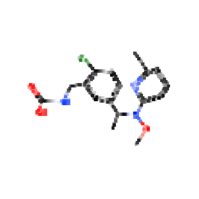 CON(c1cccc(C)n1)C(C)c1ccc(Cl)c(CNC(=O)O)c1